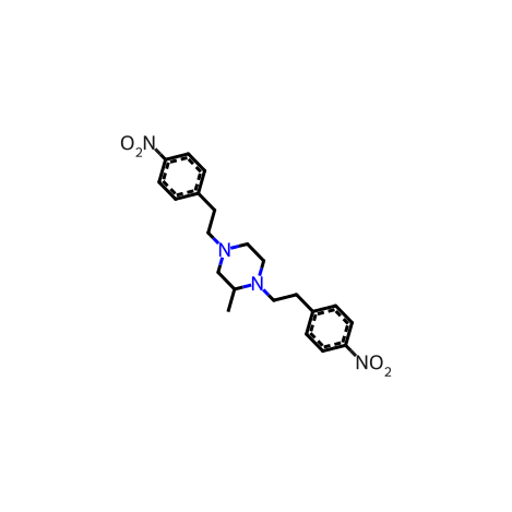 CC1CN(CCc2ccc([N+](=O)[O-])cc2)CCN1CCc1ccc([N+](=O)[O-])cc1